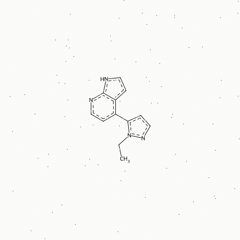 CCn1nccc1-c1ccnc2[nH]ccc12